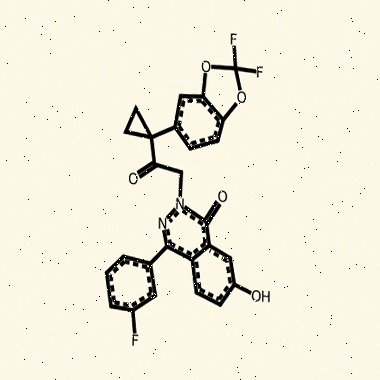 O=C(Cn1nc(-c2cccc(F)c2)c2ccc(O)cc2c1=O)C1(c2ccc3c(c2)OC(F)(F)O3)CC1